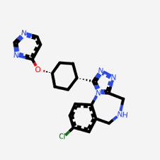 Clc1ccc2c(c1)CNCc1nnc([C@H]3CC[C@@H](Oc4ccncn4)CC3)n1-2